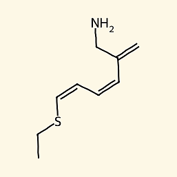 C=C(/C=C\C=C/SCC)CN